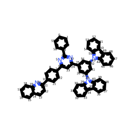 c1ccc(-c2nc(-c3ccc(-c4ccc5ccccc5n4)cc3)cc(-c3cc(-n4c5ccccc5c5ccccc54)cc(-n4c5ccccc5c5ccccc54)c3)n2)cc1